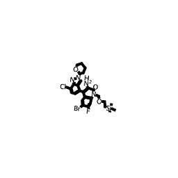 C[Si](C)(C)CCOCn1c(=O)c(N)c(-c2ccc(Cl)c3nn(C4CCCCO4)cc23)c2cc(Br)c(F)cc21